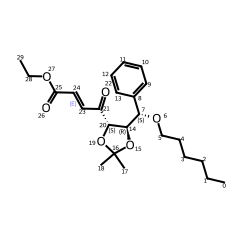 CCCCCCO[C@@H](c1ccccc1)[C@H]1OC(C)(C)O[C@@H]1C(=O)/C=C/C(=O)OCC